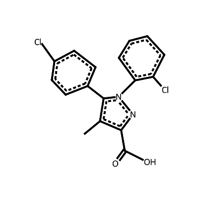 Cc1c(C(=O)O)nn(-c2ccccc2Cl)c1-c1ccc(Cl)cc1